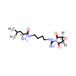 CC(C)C[C@H](N)C(=O)NCCCCNC(=N)N1C(=O)[C@H]2O[C@@H]2C1=O